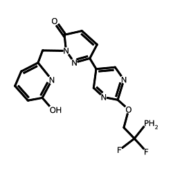 O=c1ccc(-c2cnc(OCC(F)(F)P)nc2)nn1Cc1cccc(O)n1